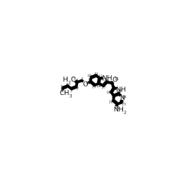 C=C(/C=C\C=C/C)COc1ccc2[nH]c(C(=O)c3cc4cc(N)cnc4[nH]3)cc2c1